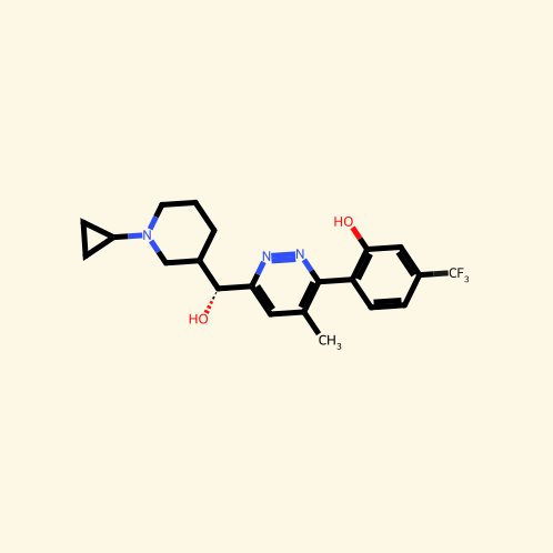 Cc1cc([C@H](O)C2CCCN(C3CC3)C2)nnc1-c1ccc(C(F)(F)F)cc1O